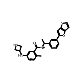 Cc1ccc(NC2CNC2)cc1C(=O)NC(C)c1cccc(-c2cc3sccc3s2)c1